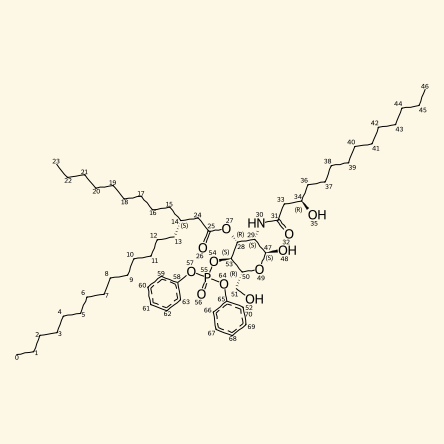 CCCCCCCCCCCCCC[C@H](CCCCCCCCC)CC(=O)O[C@@H]1[C@H](NC(=O)C[C@H](O)CCCCCCCCCCC)[C@@H](O)O[C@H](CO)[C@H]1OP(=O)(Oc1ccccc1)Oc1ccccc1